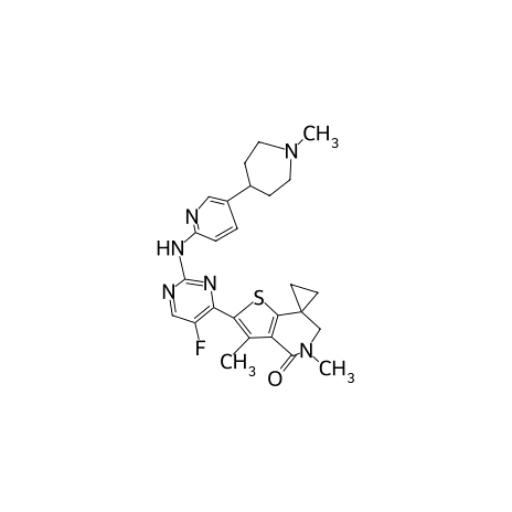 Cc1c(-c2nc(Nc3ccc(C4CCN(C)CC4)cn3)ncc2F)sc2c1C(=O)N(C)CC21CC1